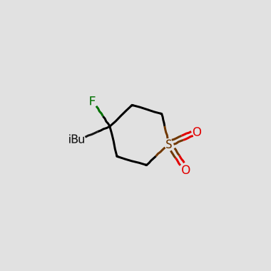 CCC(C)C1(F)CCS(=O)(=O)CC1